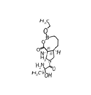 CCOB1CCC[C@H]2CN(C(=O)[C@](C)(N)O)C[C@@]2(N)C(=O)O1